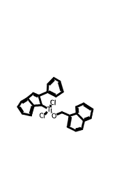 [Cl][Ti]([Cl])([O]Cc1cccc2ccccc12)[CH]1C(c2ccccc2)=Cc2ccccc21